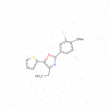 COc1ccc(-c2nc(CC(=O)O)c(-c3cccs3)o2)cc1F